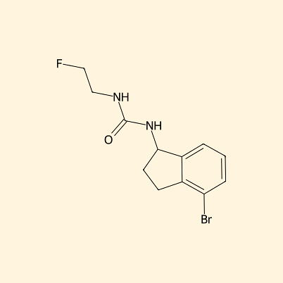 O=C(NCCF)NC1CCc2c(Br)cccc21